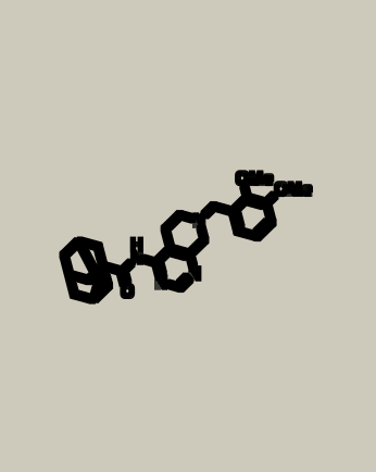 COc1cccc(CN2CCc3c(ncnc3NC(=O)C34CC5CC(CC(C5)C3)C4)C2)c1OC